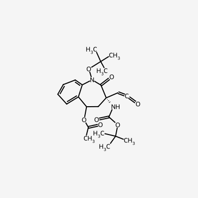 CC(=O)OC1C[C@@](C=C=O)(NC(=O)OC(C)(C)C)C(=O)N(OC(C)(C)C)c2ccccc21